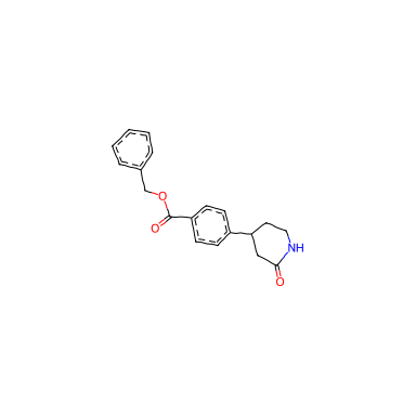 O=C1CC(c2ccc(C(=O)OCc3ccccc3)cc2)CCN1